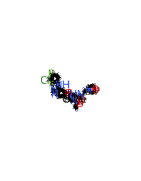 C=CC(=O)N1CCC(Oc2cc3c(Nc4ccc(F)c(Cl)c4F)ncnc3cc2OC)CC1C(=O)NCCN1CCOCC1